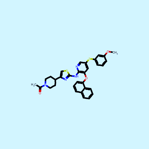 COc1cccc(Sc2cnc(Nc3nc(C4CCN(C(C)=O)CC4)cs3)c(Oc3cccc4ccccc34)c2)c1